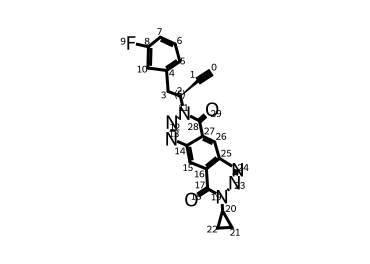 C#C[C@H](Cc1cccc(F)c1)n1nnc2cc3c(=O)n(C4CC4)nnc3cc2c1=O